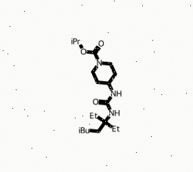 CCC(C)CC(CC)(CC)NC(=O)NC1CCN(C(=O)OC(C)C)CC1